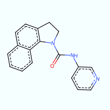 O=C(Nc1cccnc1)N1CCc2ccc3ccccc3c21